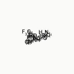 Nc1ccccc1NC(=O)/C=C/C1C=CC(C(NCCN2CCOCC2)C(=O)Nc2ccc(C(F)(F)F)cc2F)=CC1